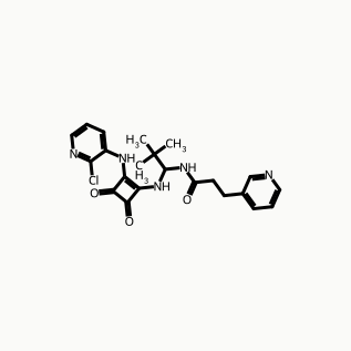 CC(C)(C)C(NC(=O)CCc1cccnc1)Nc1c(Nc2cccnc2Cl)c(=O)c1=O